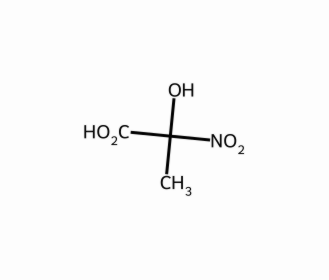 CC(O)(C(=O)O)[N+](=O)[O-]